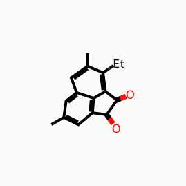 CCc1c(C)cc2cc(C)cc3c2c1C(=O)C3=O